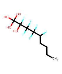 CCCCC(F)C(F)(F)C(F)(F)C(O)(F)C(O)(O)O